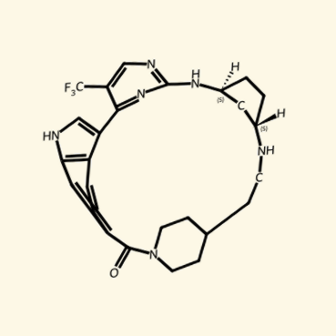 O=C1c2ccc3c(c[nH]c3c2)-c2nc(ncc2C(F)(F)F)N[C@H]2CC[C@@H](C2)NCCC2CCN1CC2